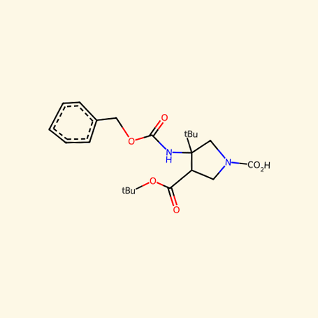 CC(C)(C)OC(=O)C1CN(C(=O)O)CC1(NC(=O)OCc1ccccc1)C(C)(C)C